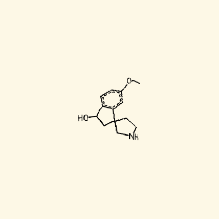 COc1ccc2c(c1)C1(CCNC1)CC2O